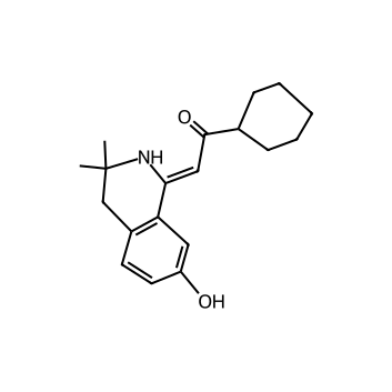 CC1(C)Cc2ccc(O)cc2/C(=C/C(=O)C2CCCCC2)N1